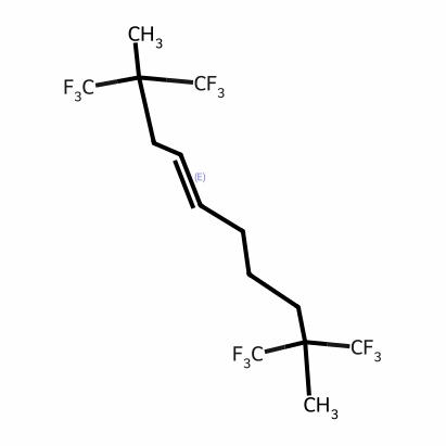 CC(C/C=C/CCCC(C)(C(F)(F)F)C(F)(F)F)(C(F)(F)F)C(F)(F)F